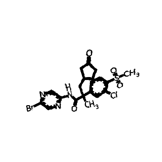 CC(CC1CCC(=O)C1)(C(=O)Nc1cnc(Br)cn1)c1ccc(S(C)(=O)=O)c(Cl)c1